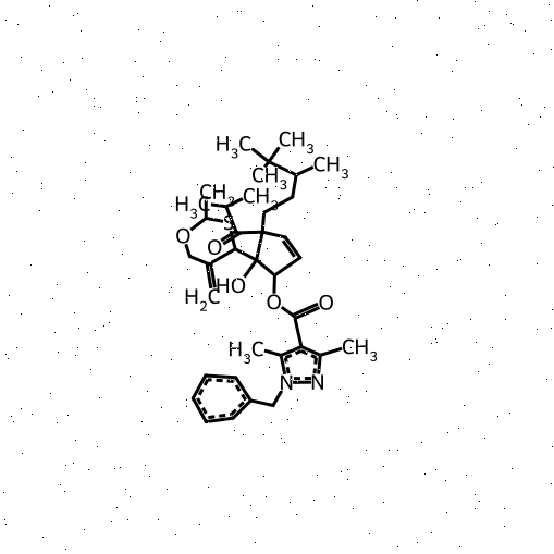 C=C1COC(C)SC1C1(O)C(OC(=O)c2c(C)nn(Cc3ccccc3)c2C)C=CC1(CCC(C)C(C)(C)C)C(=O)C(C)C